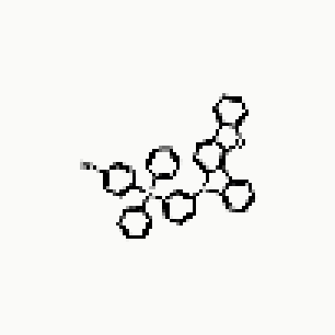 Brc1ccc([Si](c2ccccc2)(c2ccccc2)c2cccc(-n3c4ccccc4c4c5oc6ccccc6c5ccc43)c2)cc1